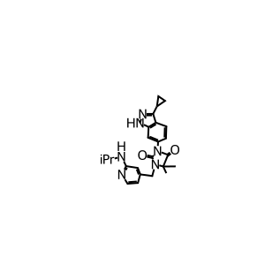 CC(C)Nc1cc(CN2C(=O)N(c3ccc4c(C5CC5)n[nH]c4c3)C(=O)C2(C)C)ccn1